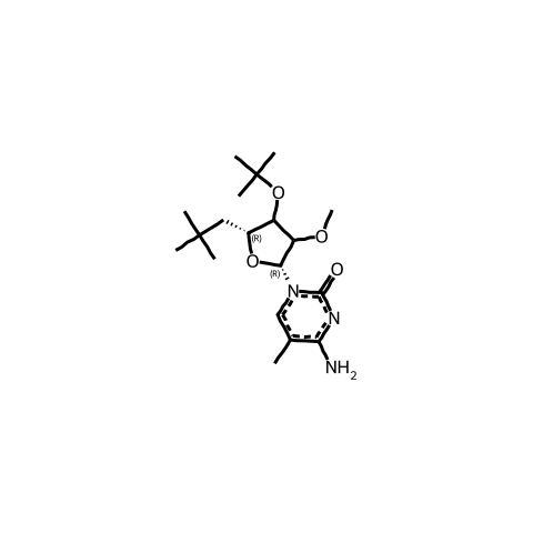 COC1C(OC(C)(C)C)[C@@H](CC(C)(C)C)O[C@H]1n1cc(C)c(N)nc1=O